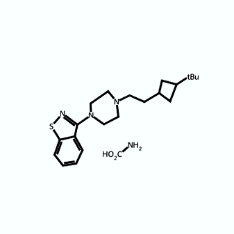 CC(C)(C)C1CC(CCN2CCN(c3nsc4ccccc34)CC2)C1.NC(=O)O